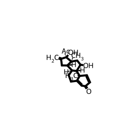 C=C1C[C@H]2[C@@H]3CCC4=CC(=O)C=C[C@]4(C)[C@H]3C(O)C[C@]2(C)[C@@]1(O)C(C)=O